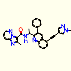 Cc1nc2cccnn2c1C(=O)NC(C)c1nc2cccc(C#Cc3cnn(C)c3)c2cc1-c1ccccc1